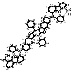 CC(C)c1cccc2c1oc1c(N(c3ccccc3)c3ccc4cc5c(cc4c3)oc3c(-c4ccccc4)c4c(oc6cc7cc(N(c8ccccc8)c8cccc9c8oc8c(C(C)C)cccc89)ccc7cc64)c(-c4ccccc4)c35)cccc12